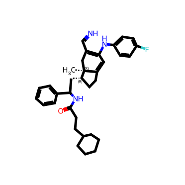 C[C@]12CC(C=N)=C(Nc3ccc(F)cc3)C=C1CC[C@@H]2CC(NC(=O)CCC1CCCCC1)c1ccccc1